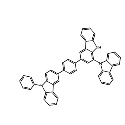 c1ccc(-n2c3ccccc3c3cc(-c4ccc(-c5cc(-n6c7ccccc7c7ccccc76)c6[nH]c7ccccc7c6c5)cc4)ccc32)cc1